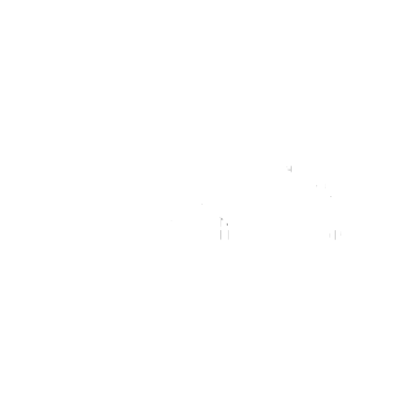 CC(C)(C)C(C[C@@H](CBr)NC(=O)OCc1ccccc1)C(=O)O